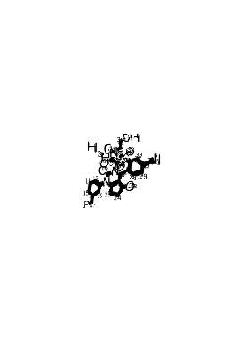 CN(CCO)C(=O)CN1C(=O)N(c2cccc(CF)c2)C2=C(C(=O)CC2)C1c1ccc(C#N)cc1S(C)(=O)=O